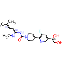 C=N/C(=C\C=C(/C)C(F)(F)F)NC(=O)N1CC=C(c2ncc([C@H](O)CO)cc2F)CC1